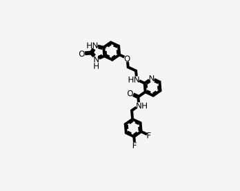 O=C(NCc1ccc(F)c(F)c1)c1cccnc1NCCOc1ccc2[nH]c(=O)[nH]c2c1